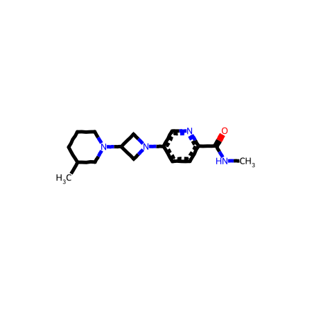 CNC(=O)c1ccc(N2CC(N3CCCC(C)C3)C2)cn1